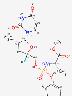 CC(C)OC(=O)[C@H](C)NP(=O)(OC[C@]1(F)C[C@H](C)[C@H](n2ccc(=O)[nH]c2=O)O1)Oc1ccccc1